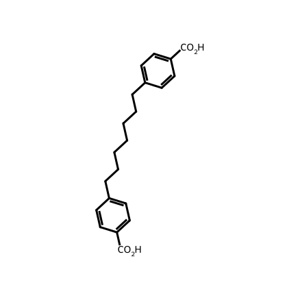 O=C(O)c1ccc(CCCCCCCc2ccc(C(=O)O)cc2)cc1